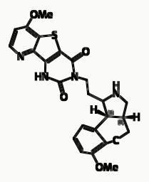 COc1cccc2c1CC[C@H]1CNC(CCn3c(=O)[nH]c4c(sc5c(OC)ccnc54)c3=O)[C@@H]21